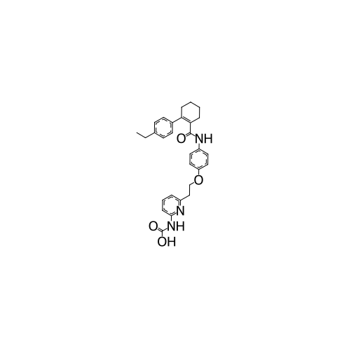 CCc1ccc(C2=C(C(=O)Nc3ccc(OCCc4cccc(NC(=O)O)n4)cc3)CCCC2)cc1